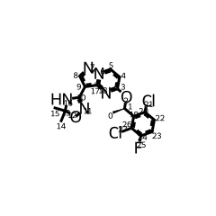 C[C@@H](Oc1ccn2ncc(C3=NOC(C)(C)N3)c2n1)c1c(Cl)ccc(F)c1Cl